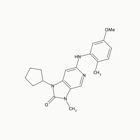 COc1ccc(C)c(Nc2cc3c(cn2)n(C)c(=O)n3C2CCCC2)c1